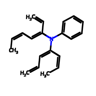 C=C/C=C(\C=C/C)N(/C(C=C)=C/C=C\C)c1ccccc1